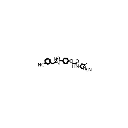 C[C@@H]1C[C@@H](NC(=O)COc2ccc(-c3nc(Cc4cccc(C#N)c4)no3)cc2)CN1C#N